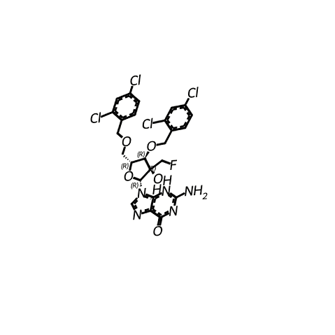 Nc1nc(=O)c2ncn([C@@H]3O[C@H](COCc4ccc(Cl)cc4Cl)[C@@H](OCc4ccc(Cl)cc4Cl)[C@]3(O)CF)c2[nH]1